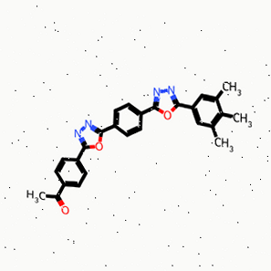 CC(=O)c1ccc(-c2nnc(-c3ccc(-c4nnc(-c5cc(C)c(C)c(C)c5)o4)cc3)o2)cc1